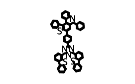 c1ccc(-c2nc3ccccc3c3c2cc(-c2ccc(-c4nc(-c5cccc6c5sc5ccccc56)nc(-c5cccc6c5sc5ccccc56)n4)cc2)c2sc4ccccc4c23)cc1